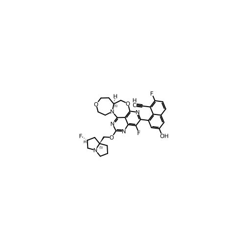 C#Cc1c(F)ccc2cc(O)cc(-c3nc4c5c(nc(OC[C@@]67CCCN6C[C@H](F)C7)nc5c3F)N3CCOCC[C@H]3CO4)c12